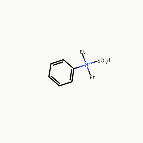 CC[N+](CC)(c1ccccc1)S(=O)(=O)O